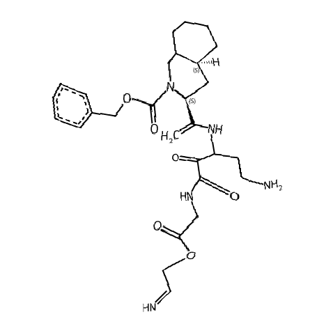 C=C(NC(CCN)C(=O)C(=O)NCC(=O)OCC=N)[C@@H]1C[C@@H]2CCCCC2CN1C(=O)OCc1ccccc1